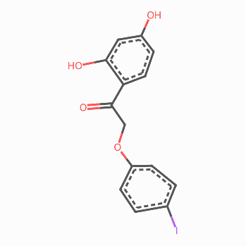 O=C(COc1ccc(I)cc1)c1ccc(O)cc1O